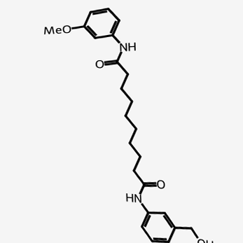 COc1cccc(NC(=O)CCCCCCCCC(=O)Nc2cccc(CO)c2)c1